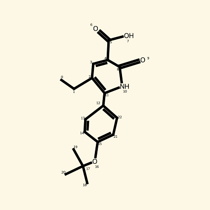 CCc1cc(C(=O)O)c(=O)[nH]c1-c1ccc(OC(C)(C)C)cc1